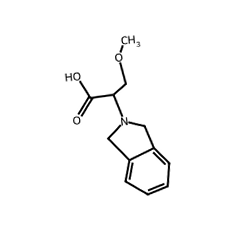 COCC(C(=O)O)N1Cc2ccccc2C1